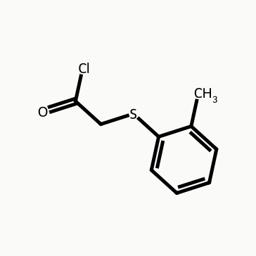 Cc1ccccc1SCC(=O)Cl